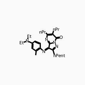 CCCCCC1=Nn2c(nc(CCC)c(CCC)c2=O)C1=Nc1ccc(N(CC)CC)cc1C